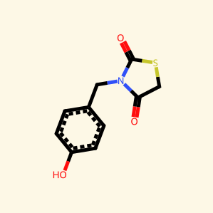 O=C1CSC(=O)N1Cc1ccc(O)cc1